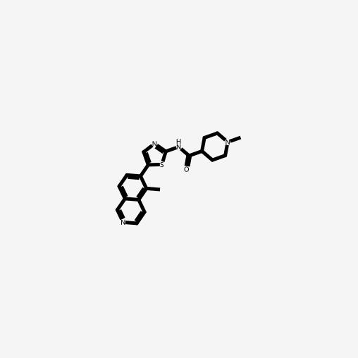 Cc1c(-c2cnc(NC(=O)C3CCN(C)CC3)s2)ccc2cnccc12